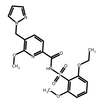 CCOc1cccc(OC)c1S(=O)(=O)NC(=O)c1ccc(Cn2cccn2)c(OC)n1